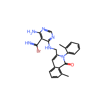 Cc1ccccc1-n1c(CNc2ncnc(N)c2C(=N)Br)cc2cccc(C)c2c1=O